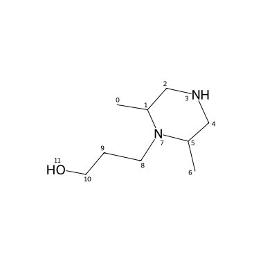 CC1CNCC(C)N1CCCO